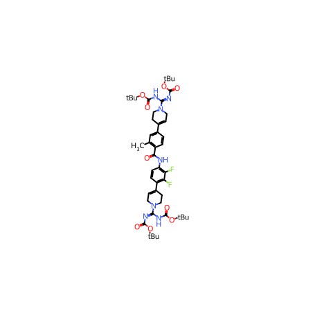 Cc1cc(C2=CCN(C(=NC(=O)OC(C)(C)C)NC(=O)OC(C)(C)C)CC2)ccc1C(=O)Nc1ccc(C2=CCN(C(=NC(=O)OC(C)(C)C)NC(=O)OC(C)(C)C)CC2)c(F)c1F